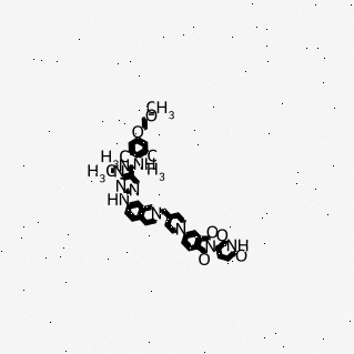 COCCOc1cc(C)c(Nc2nn(C)c3nc(Nc4ccc5c(c4)CN(CC4CCN(c6ccc7c(c6)C(=O)N(C6CCC(=O)NC6=O)C7=O)CC4)CC5)ncc23)c(C)c1